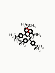 CN(C)c1ccc(C(=CC(C=C(c2ccc(N(C)C)cc2)c2ccc(N(C)C)cc2)c2cc(Cl)ccc2C(N)=O)c2ccc(N(C)C)cc2)cc1